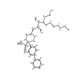 CCCCCCCC(CCC)C(F)C(F)C[C@H]1CC[C@@](C(=O)O)(c2ccc(-c3ccccc3)cc2)CC1